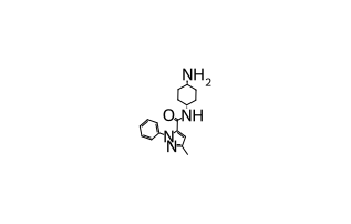 Cc1cc(C(=O)N[C@H]2CC[C@H](N)CC2)n(-c2ccccc2)n1